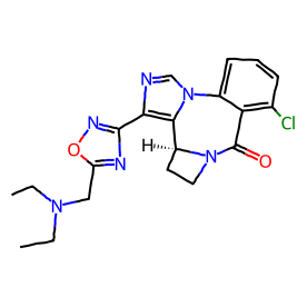 CCN(CC)Cc1nc(-c2ncn3c2[C@@H]2CCN2C(=O)c2c(Cl)cccc2-3)no1